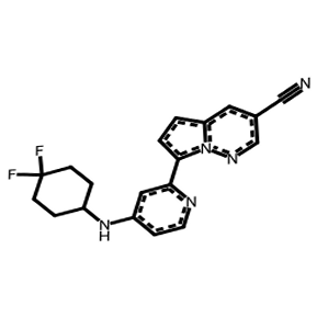 N#Cc1cnn2c(-c3cc(NC4CCC(F)(F)CC4)ccn3)ccc2c1